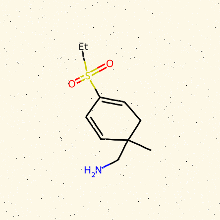 CCS(=O)(=O)C1=CCC(C)(CN)C=C1